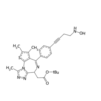 Cc1sc2c(c1C)C(c1ccc(C#CCCNO)cc1)=NC(CC(=O)OC(C)(C)C)c1nnc(C)n1-2